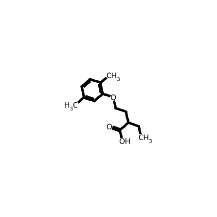 CCC(CCOc1cc(C)ccc1C)C(=O)O